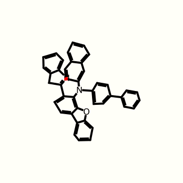 c1ccc(-c2ccc(N(c3ccc4ccccc4c3)c3c(C4=Nc5ccccc5C4)ccc4c3oc3ccccc34)cc2)cc1